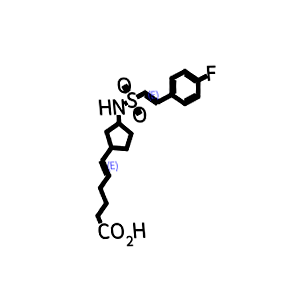 O=C(O)CCC/C=C/C1CCC(NS(=O)(=O)/C=C/c2ccc(F)cc2)C1